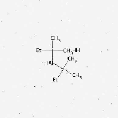 CC[C](C)(C)[AlH][C](C)(C)CC.[HH]